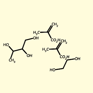 C=C(C)C(=O)O.C=C(C)C(=O)O.CC(O)C(O)CO.OCCO